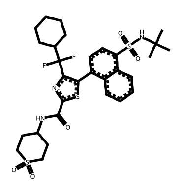 CC(C)(C)NS(=O)(=O)c1ccc(-c2sc(C(=O)NC3CCS(=O)(=O)CC3)nc2C(F)(F)C2CCCCC2)c2ccccc12